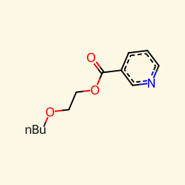 CCCCOCCOC(=O)c1cccnc1